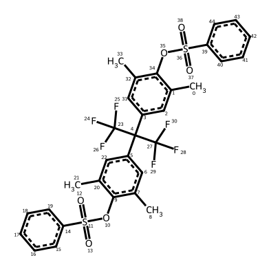 Cc1cc(C(c2cc(C)c(OS(=O)(=O)c3ccccc3)c(C)c2)(C(F)(F)F)C(F)(F)F)cc(C)c1OS(=O)(=O)c1ccccc1